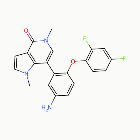 Cn1cc(-c2cc(N)ccc2Oc2ccc(F)cc2F)c2c(ccn2C)c1=O